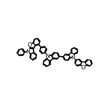 c1ccc(-n2c3ccccc3c3c4c(-c5ccc(-n6c7ccccc7c7cc(-c8ccc9c(c8)c8ccccc8n9-c8ccc9oc%10ccccc%10c9c8)ccc76)cc5)cccc4oc32)cc1